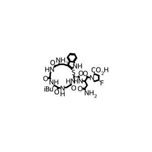 CC[C@H](C)[C@@H]1NC(=O)CNC(=O)[C@@H](N)Cc2c([nH]c3ccccc23)S[C@@H](C(=O)NC(CC(N)=O)C(=O)N2C[C@@H](F)C[C@H]2C(=O)O)NC(=O)CNC1=O